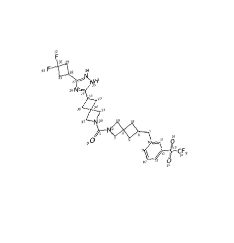 O=C(N1CC2(CC(Cc3cccc(S(=O)(=O)C(F)(F)F)c3)C2)C1)N1CC2(CC(c3nc(C4CC(F)(F)C4)n[nH]3)C2)C1